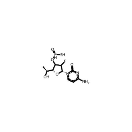 C[C@H](O)[C@H]1O[C@@H](n2ccc(N)nc2=O)C(F)C1O[PH](=O)S